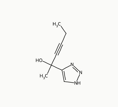 CCC#CC(C)(O)c1c[nH]nn1